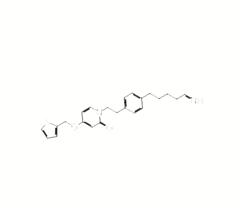 N=CCCCCc1ccc(CCn2ccc(OCc3cccs3)cc2=O)cc1